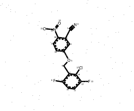 N#Cc1cc(OCc2c(F)ccc(F)c2Cl)ccc1[N+](=O)[O-]